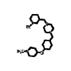 CCN1CCCC(CN2CCN(CC3CCC(OC4CCN(C)CC4)CC3)CC2)C1